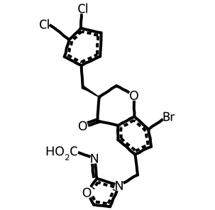 O=C(O)N=c1occn1Cc1cc(Br)c2c(c1)C(=O)[C@@H](Cc1ccc(Cl)c(Cl)c1)CO2